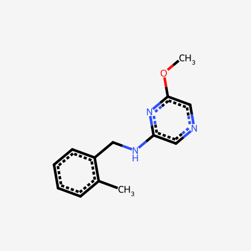 COc1cncc(NCc2ccccc2C)n1